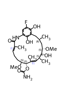 CO[C@H]1C[C@H](C)Cc2c(O)c(F)cc(c2O)NC(=O)/C(C)=C/CC[C@H](OC)[C@@H](OC(N)=O)/C(C)=C/[C@H](C)[C@H]1O